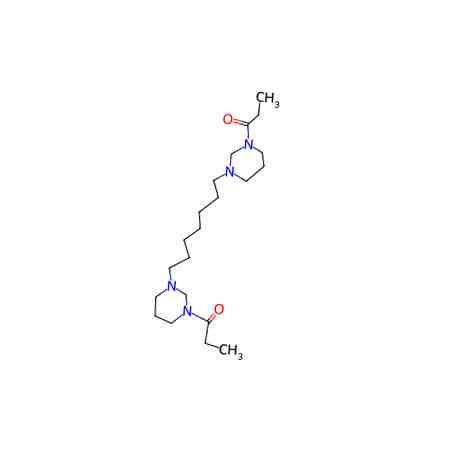 CCC(=O)N1CCCN(CCCCCCCN2CCCN(C(=O)CC)C2)C1